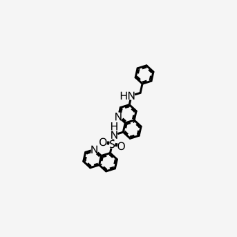 O=S(=O)(Nc1cccc2cc(NCc3ccccc3)cnc12)c1cccc2cccnc12